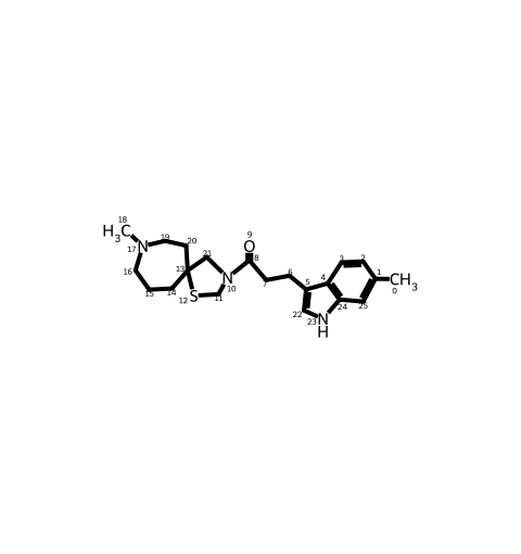 Cc1ccc2c(CCC(=O)N3CSC4(CCCN(C)CC4)C3)c[nH]c2c1